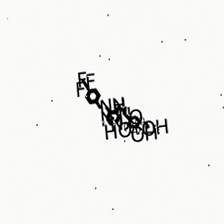 OC[C@H]1OC(n2cnc3c(NCc4ccc(C(F)(F)F)cc4)ncnc32)[C@H](O)[C@@H]1O